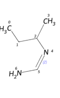 CCC(C)/N=C\N